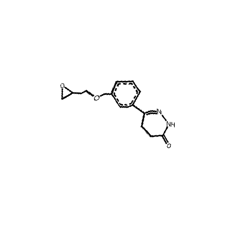 O=C1CCC(c2cccc(OCC3CO3)c2)=NN1